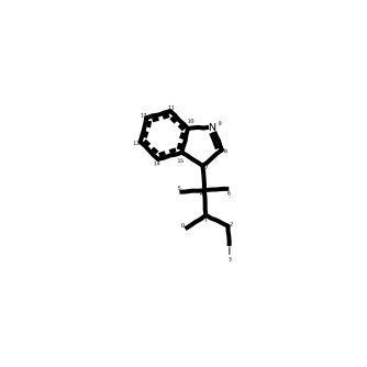 CC(CI)C(C)(C)C1C=Nc2ccccc21